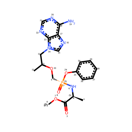 CC(C)OC(=O)[C@H](C)N[P@](=O)(COC(C)Cn1cnc2c(N)ncnc21)Oc1ccccc1